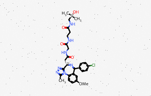 COc1ccc2c(c1)C(c1ccc(Cl)cc1)=N[C@@H](CC(=O)NCC(=O)NCCC(=O)NC[Si](C)(C)O)c1nnc(C)n1-2